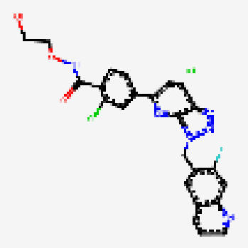 Cl.O=C(NOCCO)c1ccc(-c2ccc3nnn(Cc4cc5cccnc5cc4F)c3n2)cc1Cl